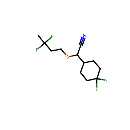 CC(F)(F)CCSC(C#N)C1CCC(F)(F)CC1